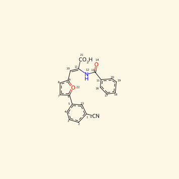 N#Cc1cccc(-c2ccc(C=C(NC(=O)c3ccccc3)C(=O)O)o2)c1